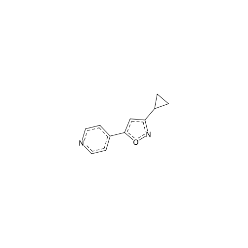 c1cc(-c2cc(C3CC3)no2)ccn1